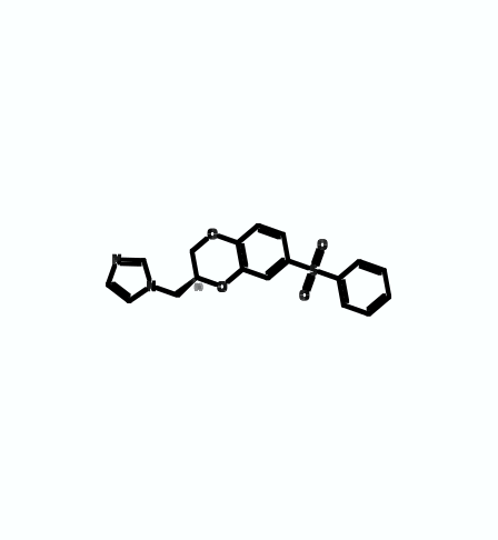 O=S(=O)(c1ccccc1)c1ccc2c(c1)O[C@@H](Cn1ccnc1)CO2